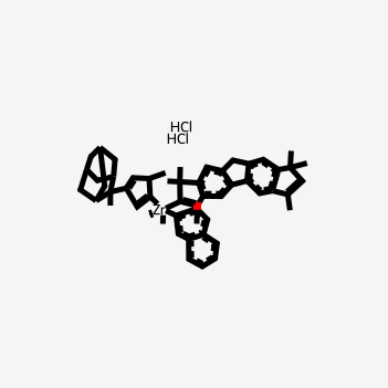 Cl.Cl.[CH2]=[Zr]([CH3])([C]1=CC(C2(C)C3CC4CC(C3)CC2C4)=CC1C)([C]1=C(C)c2cc3c(cc2C1(C)C)Cc1cc2c(cc1-3)C(C)=CC2(C)C)[c]1ccc2ccccc2c1